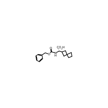 O=C(N[C@H](C(=O)O)C1CC2(CCC2)C1)OCc1ccccc1